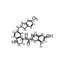 COc1ccc2c(c1)CC(Cc1ccc3c(c1)[C@H](NC(=O)[C@@H](N)Cc1c(C)cc(O)cc1C)CCN3)C2